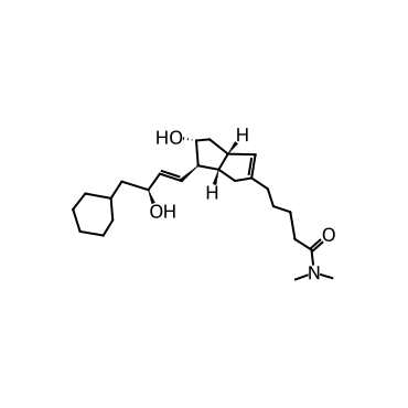 CN(C)C(=O)CCCCC1=C[C@H]2C[C@@H](O)[C@H](/C=C/[C@@H](O)CC3CCCCC3)[C@H]2C1